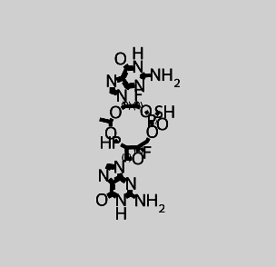 CC1OPC2[C@H](n3cnc4c(=O)[nH]c(N)nc43)O[C@@]2(F)COP(=O)(S)O[C@H](F)[C@H](n2cnc3c(=O)[nH]c(N)nc32)O1